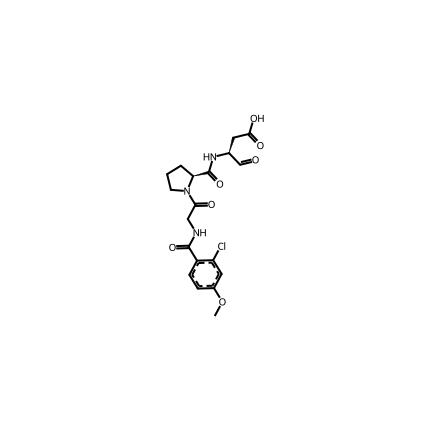 COc1ccc(C(=O)NCC(=O)N2CCC[C@H]2C(=O)N[C@H](C=O)CC(=O)O)c(Cl)c1